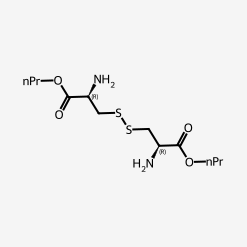 CCCOC(=O)[C@@H](N)CSSC[C@H](N)C(=O)OCCC